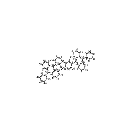 C1=CC2c3cc(-c4c5ccccc5c(-c5cccnc5)c5ccccc45)ccc3SC2C(c2c3ccccc3c(-c3ccccc3)c3ccccc23)=C1